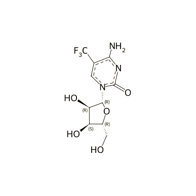 Nc1nc(=O)n([C@@H]2O[C@H](CO)[C@@H](O)[C@H]2O)cc1C(F)(F)F